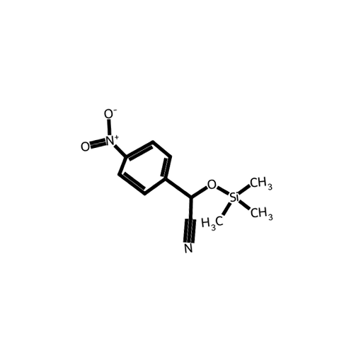 C[Si](C)(C)OC(C#N)c1ccc([N+](=O)[O-])cc1